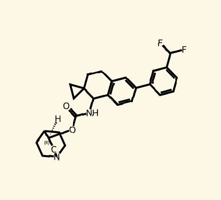 O=C(NC1c2ccc(-c3cccc(C(F)F)c3)cc2CCC12CC2)O[C@H]1CN2CCC1CC2